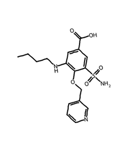 CCCCNc1cc(C(=O)O)cc(S(N)(=O)=O)c1OCc1cccnc1